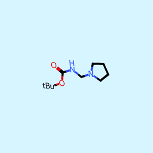 CC(C)(C)OC(=O)NCN1CCCC1